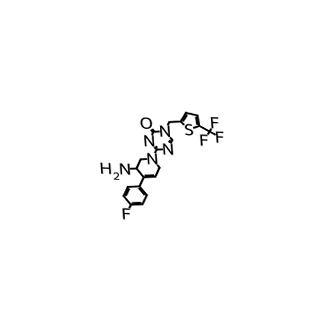 NC1CN(c2ncn(Cc3ccc(C(F)(F)F)s3)c(=O)n2)CC=C1c1ccc(F)cc1